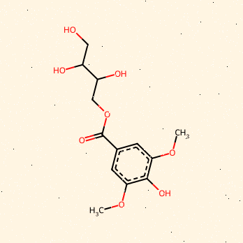 COc1cc(C(=O)OCC(O)C(O)CO)cc(OC)c1O